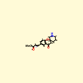 COC(=O)/C=C/c1ccc2c(c1)C(=O)CC1(CCCNC1)O2